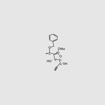 C#C[C@@H](O)[C@H]1O[N+](OC)=C([C@@H](C)OCc2ccccc2)[C@H]1O